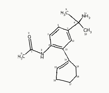 CC(=O)Nc1ccc(C(C)(C)N)cc1C1=CCCCC1